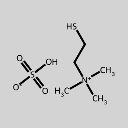 C[N+](C)(C)CCS.O=S(=O)([O-])O